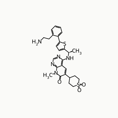 C[C@@H](Nc1ncnc2c1cc(C1CCS(=O)(=O)CC1)c(=O)n2C)c1ccc(-c2ccccc2CCN)s1